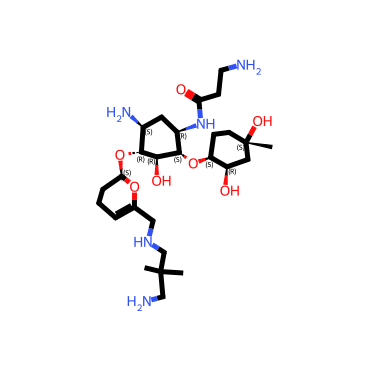 CC(C)(CN)CNCC1=CCC[C@@H](O[C@H]2[C@H](O)[C@@H](O[C@H]3CC[C@](C)(O)C[C@H]3O)[C@H](NC(=O)CCN)C[C@@H]2N)O1